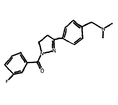 CN(C)Cc1ccc(C2=NN(C(=O)c3cccc(F)c3)CC2)cc1